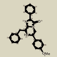 COc1ccc(-c2cn3c(=O)c(-c4ccccc4)nc-3c(Cc3ccccc3)[nH]2)cc1